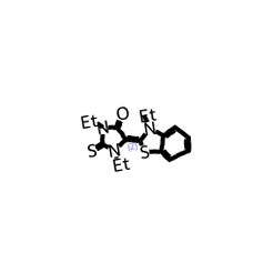 CCN1C(=O)/C(=C2/Sc3ccccc3N2CC)N(CC)C1=S